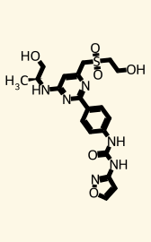 C[C@@H](CO)Nc1cc(CS(=O)(=O)CCO)nc(-c2ccc(NC(=O)Nc3ccon3)cc2)n1